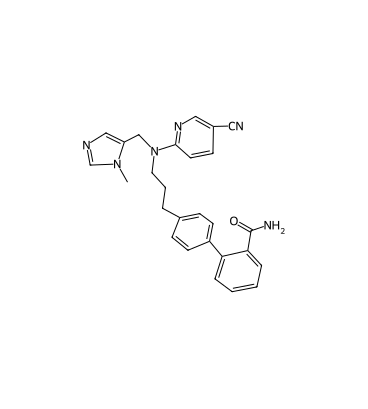 Cn1cncc1CN(CCCc1ccc(-c2ccccc2C(N)=O)cc1)c1ccc(C#N)cn1